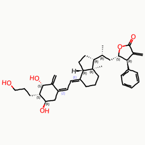 C=C1/C(=C\C=C2/CCC[C@]3(C)[C@@H]([C@H](C)C[C@@H]4OC(=O)C(=C)[C@H]4c4ccccc4)CC[C@@H]23)C[C@@H](O)[C@H](CCCO)[C@@H]1O